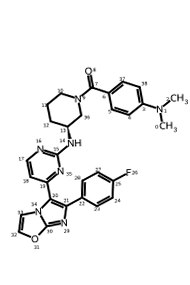 CN(C)c1ccc(C(=O)N2CCC[C@H](Nc3nccc(-c4c(-c5ccc(F)cc5)nc5occn45)n3)C2)cc1